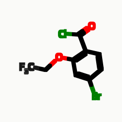 O=C(Cl)c1ccc(Br)cc1OCC(F)(F)F